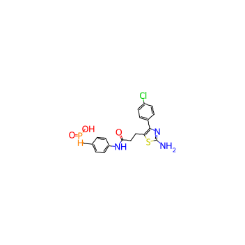 Nc1nc(-c2ccc(Cl)cc2)c(CCC(=O)Nc2ccc(C[PH](=O)O)cc2)s1